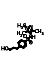 Cc1nn(C)c(C)c1NS(=O)(=O)c1ccc(CCCO)cc1